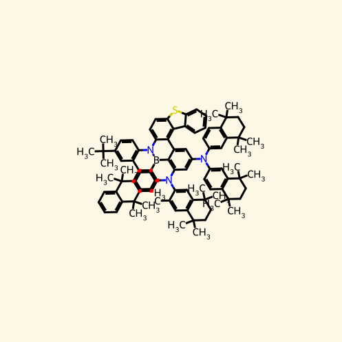 Cc1cc2c(cc1N1c3cc4c(cc3B3c5c(cc(N(c6ccc7c(c6)C(C)(C)CCC7(C)C)c6ccc7c(c6)C(C)(C)CCC7(C)C)cc51)-c1c(ccc5sc6ccccc6c15)N3c1ccc(C(C)(C)C)cc1-c1ccccc1)C(C)(C)c1ccccc1C4(C)C)C(C)(C)CCC2(C)C